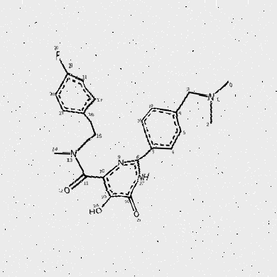 CN(C)Cc1ccc(-c2nc(C(=O)N(C)Cc3ccc(F)cc3)c(O)c(=O)[nH]2)cc1